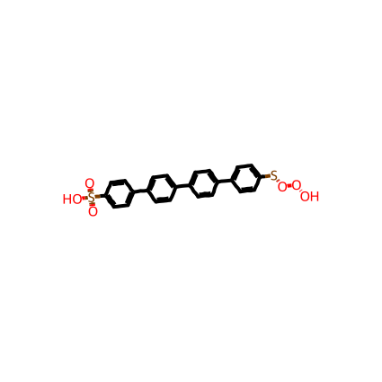 O=S(=O)(O)c1ccc(-c2ccc(-c3ccc(-c4ccc(SOOO)cc4)cc3)cc2)cc1